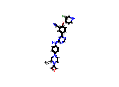 C[C@H]1CN(c2ccc(Nc3ncnc(-c4ccc(O[C@H]5CCNC[C@@H]5F)c(C#N)c4)n3)cc2)CCN1C1COC1